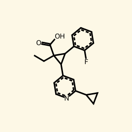 CCC1(C(=O)O)C(c2ccnc(C3CC3)c2)C1c1ccccc1F